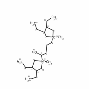 CCC1C[N+](C)(CCCC(O)[N+]2(C)CC(CC)C(CC)C2)CC1CC